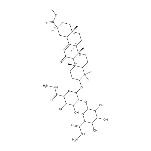 COC(=O)[C@@]1(C)CC[C@]2(C)CC[C@]3(C)C(=CC(=O)C4[C@@]5(C)CCC(OC6OC(C(=O)NN)C(O)C(O)C6OC6OC(C(=O)NN)C(O)C(O)C6O)C(C)(C)C5CC[C@]43C)C2C1